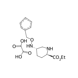 CCOC(=O)[C@H]1CC[C@H](NOCc2ccccc2)CN1.O=C(O)C(=O)O